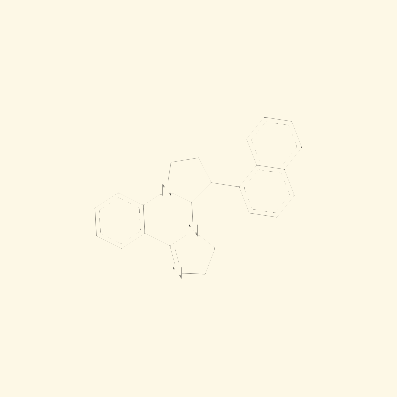 c1ccc2c(c1)C1=NCCN1C1C(c3cccc4ccccc34)CCN21